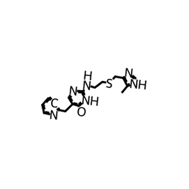 Cc1[nH]cnc1CSCCNc1ncc(Cc2ccccn2)c(=O)[nH]1